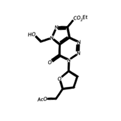 CCOC(=O)c1nn(CO)c2c(=O)n(C3[CH][CH]C(COC(C)=O)O3)nnc12